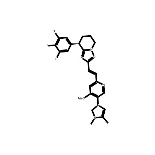 COc1cc(/C=C/c2nc3n(n2)CCC[C@@H]3c2cc(F)c(F)c(F)c2)ncc1N1C=C(C)N(C)C1